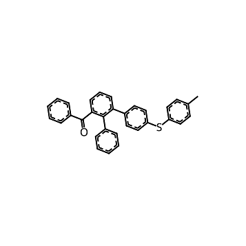 Cc1ccc(Sc2ccc(-c3cccc(C(=O)c4ccccc4)c3-c3ccccc3)cc2)cc1